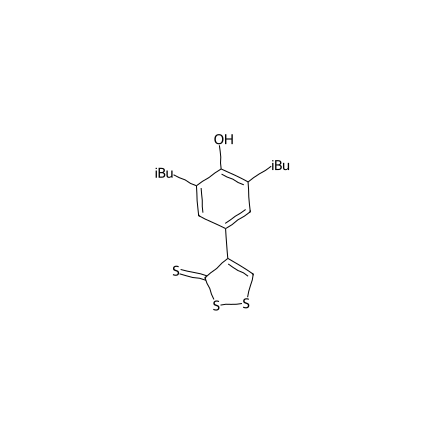 CCC(C)c1cc(-c2cssc2=S)cc(C(C)CC)c1O